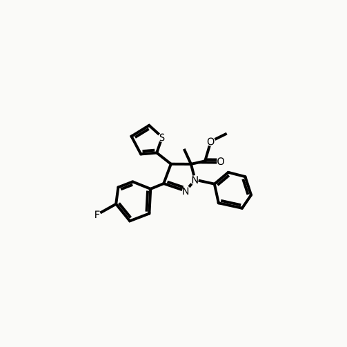 COC(=O)C1(C)C(c2cccs2)C(c2ccc(F)cc2)=NN1c1ccccc1